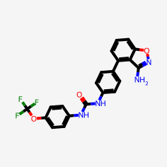 Nc1noc2cccc(-c3ccc(NC(=O)Nc4ccc(OC(F)(F)F)cc4)cc3)c12